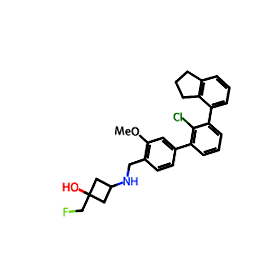 COc1cc(-c2cccc(-c3cccc4c3CCC4)c2Cl)ccc1CNC1CC(O)(CF)C1